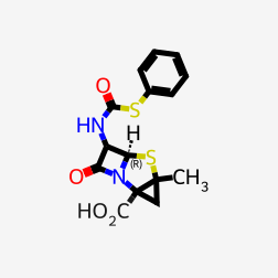 CC12CC1(C(=O)O)N1C(=O)C(NC(=O)Sc3ccccc3)[C@H]1S2